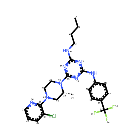 CCCCNc1nc(Nc2ccc(C(F)(F)F)cc2)nc(N2CCN(c3ncccc3Cl)C[C@H]2C)n1